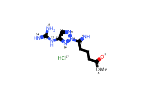 COC(=O)CCCC(=N)n1ncc(NC(=N)N)n1.Cl